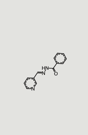 O=C(NN=Cc1cccnc1)c1ccccc1